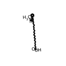 Cc1ccccc1-n1cc(CCCCCCCCCCCCCCCCCCCC(=O)O)nn1